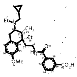 CCN(CC1CC1)C1Cc2ccc(OC)cc2[C@](CC)(CCNC(=O)c2cccc(C(=O)O)c2)[C@H]1C